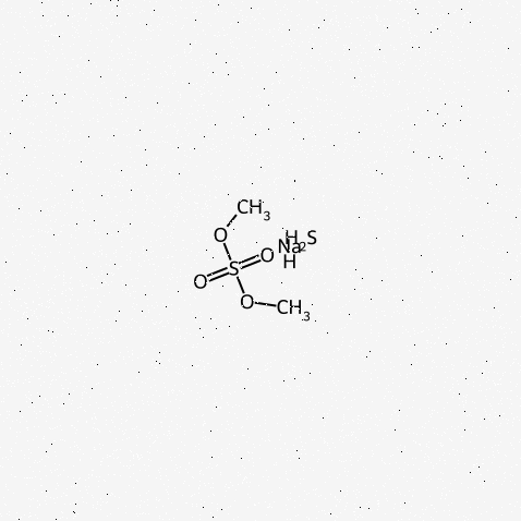 COS(=O)(=O)OC.S.[NaH]